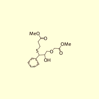 COC(=O)CCSC(c1ccccc1)C(O)COCC(=O)OC